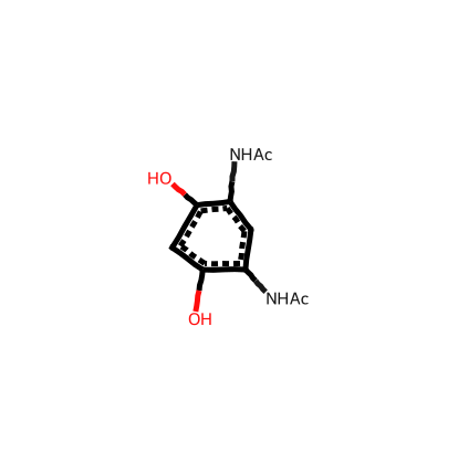 CC(=O)Nc1cc(NC(C)=O)c(O)cc1O